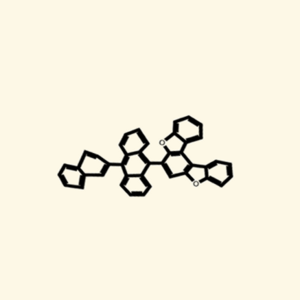 c1ccc2cc(-c3c4ccccc4c(-c4cc5oc6ccccc6c5c5c4oc4ccccc45)c4ccccc34)ccc2c1